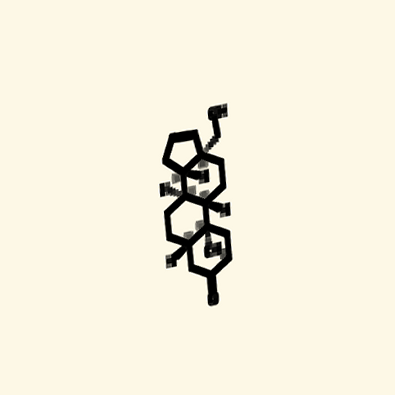 C[C@]12CCC(=O)C[C@@H]1CC[C@H]1[C@@H]3CC=C[C@@]3(CO)CC[C@@H]12